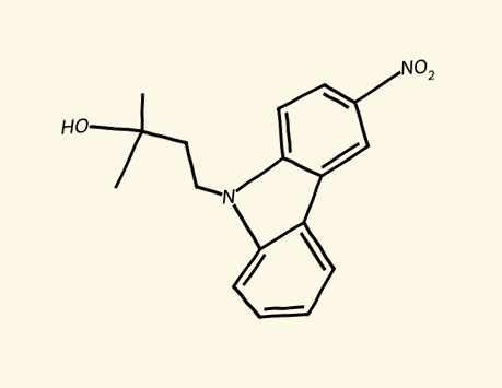 CC(C)(O)CCn1c2ccccc2c2cc([N+](=O)[O-])ccc21